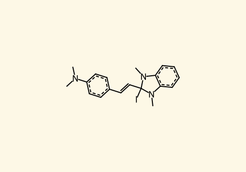 CN(C)c1ccc(C=CC2(I)N(C)c3ccccc3N2C)cc1